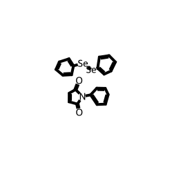 O=C1C=CC(=O)N1c1ccccc1.c1ccc([Se][Se]c2ccccc2)cc1